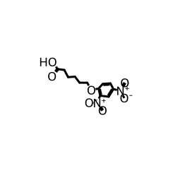 O=C(O)CCCCCOc1ccc([N+](=O)[O-])cc1[N+](=O)[O-]